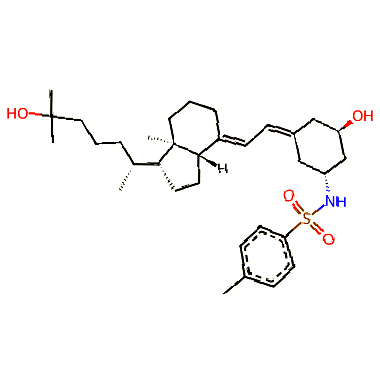 Cc1ccc(S(=O)(=O)N[C@@H]2C/C(=C\C=C3/CCC[C@]4(C)[C@@H]([C@H](C)CCCC(C)(C)O)CC[C@@H]34)C[C@@H](O)C2)cc1